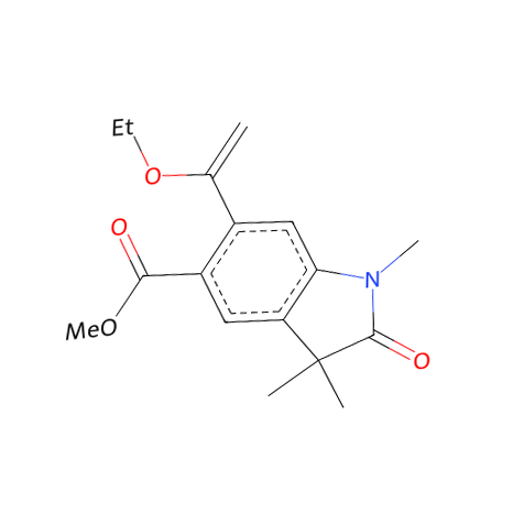 C=C(OCC)c1cc2c(cc1C(=O)OC)C(C)(C)C(=O)N2C